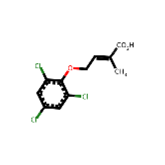 CC(=CCOc1c(Cl)cc(Cl)cc1Cl)C(=O)O